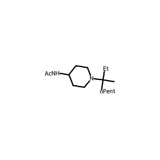 CCCCCC(C)(CC)N1CCC(NC(C)=O)CC1